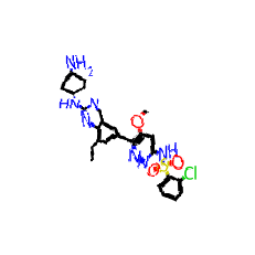 CCc1cc(-c2nnc(NS(=O)(=O)c3ccccc3Cl)cc2OC)cc2cnc(N[C@H]3CC[C@H](N)CC3)nc12